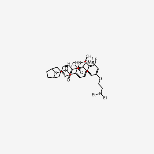 CCN(CC)CCOc1ccc([C@H](C)NC(=O)c2ccc(N3C4CCC3CC(NC(=O)c3cccc(OC)c3C)C4)nc2)c(F)c1